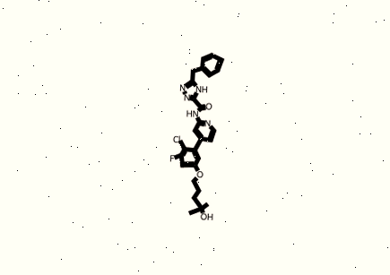 CC(C)(O)CCCOc1cc(F)c(Cl)c(-c2ccnc(NC(=O)c3nnc(Cc4ccccc4)[nH]3)c2)c1